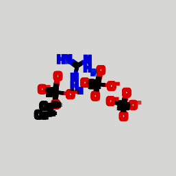 N=C(N)N.O=[Se](=O)([O-])[O-].O=[Se](=O)([O-])[O-].O=[Se](=O)([O-])[O-].[Ga+3].[Ga+3]